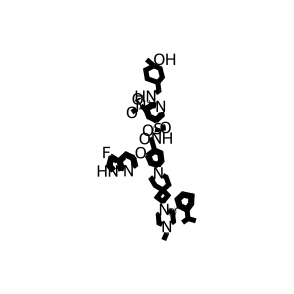 CCN1CCN(C2CC3(CCN(c4ccc(C(=O)NS(=O)(=O)c5cnc(NCC6CCC(C)(O)CC6)c([N+](=O)[O-])c5)c(Oc5cnc6[nH]cc(F)c6c5)c4)CC3)C2)[C@H](c2ccccc2C(C)C)C1